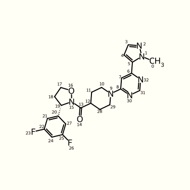 Cn1nccc1-c1cc(N2CCC(C(=O)N3OCC[C@H]3c3cc(F)cc(F)c3)CC2)ncn1